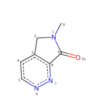 CN1Cc2ccnnc2C1=O